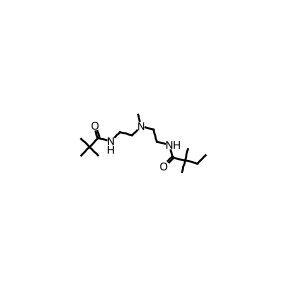 CCC(C)(C)C(=O)NCCN(C)CCNC(=O)C(C)(C)C